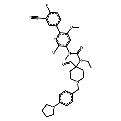 CCN(C(=O)N(C)c1cc(OC)c(-c2ccc(F)c(C#N)c2)nc1Cl)C1(C=O)CCN(Cc2ccc(N3CCCC3)cc2)CC1